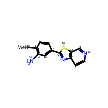 CNc1ccc(-c2nc3ccncc3s2)cc1N